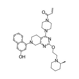 C=CC(=O)N1CCN(c2nc(OCCN3CCCC[C@@H]3C)nc3c2CCN(c2cc(O)cc4ccccc24)C3)CC1